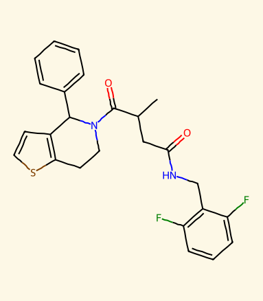 CC(CC(=O)NCc1c(F)cccc1F)C(=O)N1CCc2sccc2C1c1ccccc1